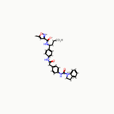 Cc1cc(C(=O)NC(CCC(=O)O)c2ccc(NC(=O)Cc3ccc(NC(=O)N4CCc5ccccc54)cc3)cc2)no1